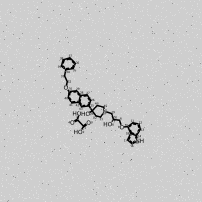 O=C(O)C(=O)O.O[C@H](COc1cccc2[nH]ccc12)CN1CCC(O)(c2ccc3cc(OCCc4ccccc4)ccc3c2)CC1